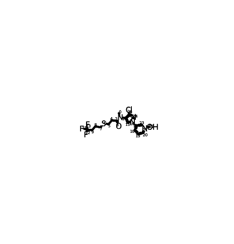 CN(C(=O)CCSCCCC(F)(F)F)c1cn(-c2ccc[n+](O)c2)nc1Cl